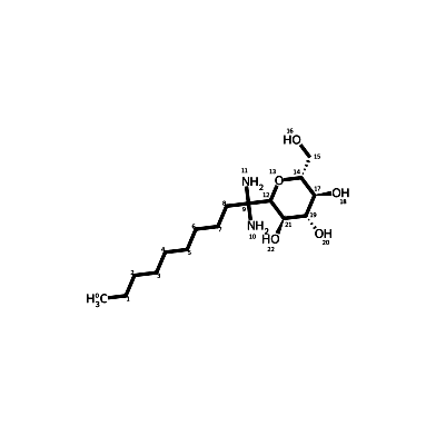 CCCCCCCCCC(N)(N)C1O[C@H](CO)[C@@H](O)[C@H](O)[C@H]1O